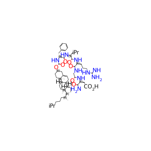 CC(C)CCC[C@@H](C)[C@H]1CC[C@H]2[C@@H]3CC=C4C[C@@H](OC(=O)N[C@H](Cc5ccccc5)C(=O)N[C@H](C(=O)N[C@@H](CCCNC(=N)N)C(=O)NCC(=O)N[C@@H](CC(=O)O)C(N)=O)C(C)C)CC[C@]4(C)[C@H]3CC[C@]12C